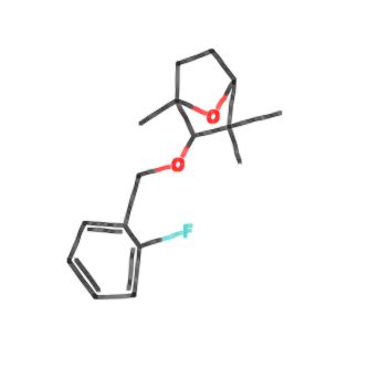 CC12CCC(O1)C(C)(C)C2OCc1ccccc1F